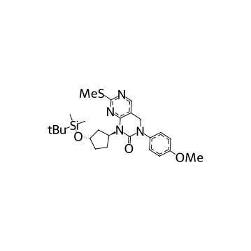 COc1ccc(N2Cc3cnc(SC)nc3N([C@H]3CC[C@H](O[Si](C)(C)C(C)(C)C)C3)C2=O)cc1